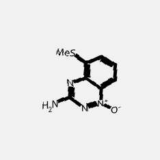 CSc1cccc2c1nc(N)n[n+]2[O-]